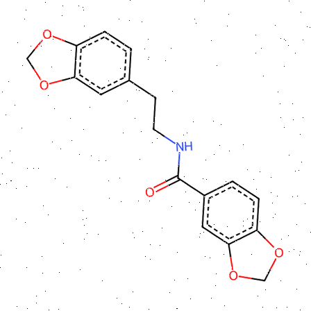 O=C(NCCc1ccc2c(c1)OCO2)c1ccc2c(c1)OCO2